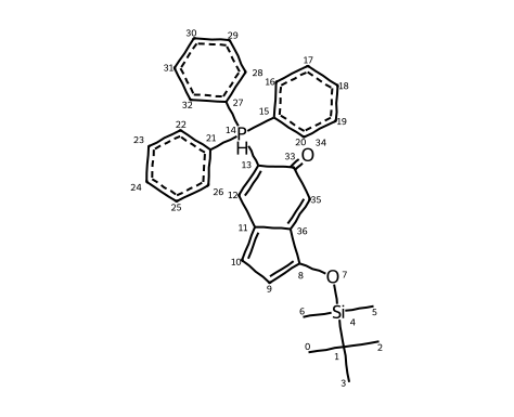 CC(C)(C)[Si](C)(C)OC1=CC=C2C=C([PH](c3ccccc3)(c3ccccc3)c3ccccc3)C(=O)C=C21